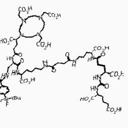 CC(C)(C)[Si](F)(c1ccc(C(=O)NC[C@@H](NC(=O)CC[C@@H](C(=O)O)N2CCN(CC(=O)O)CCN(CC(=O)O)CCN(CC(=O)O)CC2)C(=O)N[C@@H](CCCCNC(=O)CCC(=O)NCCC[C@@H](NC(=O)CC[C@H](NC(=O)N[C@@H](CCCC(=O)O)C(=O)O)C(=O)O)C(=O)O)C(=O)O)cc1)C(C)(C)C